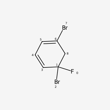 FC1(Br)C=CC=C(Br)C1